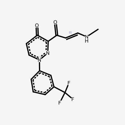 CN/C=C/C(=O)c1nn(-c2cccc(C(F)(F)F)c2)ccc1=O